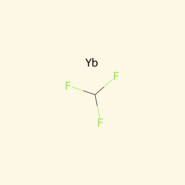 FC(F)F.[Yb]